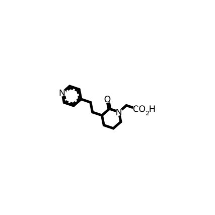 O=C(O)CN1CCCC(CCc2ccncc2)C1=O